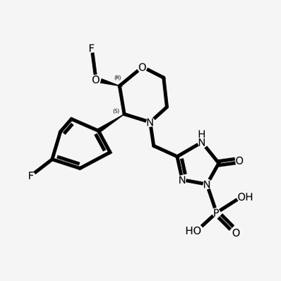 O=c1[nH]c(CN2CCO[C@H](OF)[C@@H]2c2ccc(F)cc2)nn1P(=O)(O)O